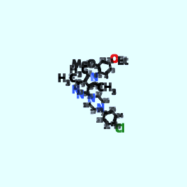 CCOc1ccc(-n2c(C)c3c(C)nnc(N4CCN(c5ccc(Cl)cc5)CC4)c3c2C)c(OC)c1